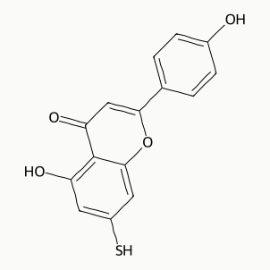 O=c1cc(-c2ccc(O)cc2)oc2cc(S)cc(O)c12